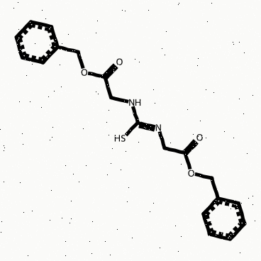 O=C(C/N=C(\S)NCC(=O)OCc1ccccc1)OCc1ccccc1